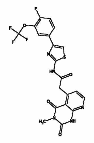 Cn1c(=O)[nH]c2nccc(CC(=O)Nc3nc(-c4ccc(F)c(OC(F)(F)F)c4)cs3)c2c1=O